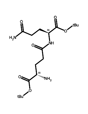 CC(C)(C)OC(=O)[C@H](CCC(N)=O)NC(=O)CC[C@H](N)C(=O)OC(C)(C)C